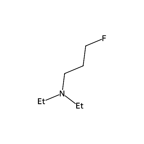 CCN(CC)CCCF